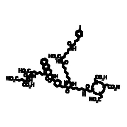 O=C(O)CCC(NC(=O)NC(CCCCNC(=O)C(Cc1ccc2ccccc2c1)NC(=O)C1CCC(CNC(=O)C(CCCCNC(=O)CN2CCN(CC(=O)O)CCN(CC(=O)O)CCN(CC(=O)O)CC2)NC(=O)CCCCCCC(=O)NC(CCCCNC(=O)CCCc2ccc(I)cc2)C(=O)O)CC1)C(=O)O)C(=O)O